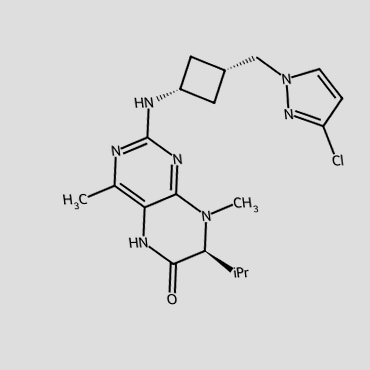 Cc1nc(N[C@H]2C[C@@H](Cn3ccc(Cl)n3)C2)nc2c1NC(=O)[C@H](C(C)C)N2C